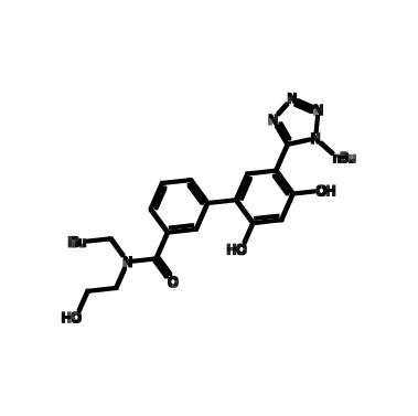 CCCCn1nnnc1-c1cc(-c2cccc(C(=O)N(CCO)CC(C)CC)c2)c(O)cc1O